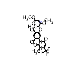 COC(=O)/C=C(/OC)C(C)Oc1cc(-n2c(=O)cc(C(F)(F)F)n(C)c2=O)c(Cl)cc1Cl